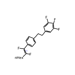 CCCCCC/C(F)=C(\F)c1ccc(CCc2cc(F)c(F)c(F)c2)cc1